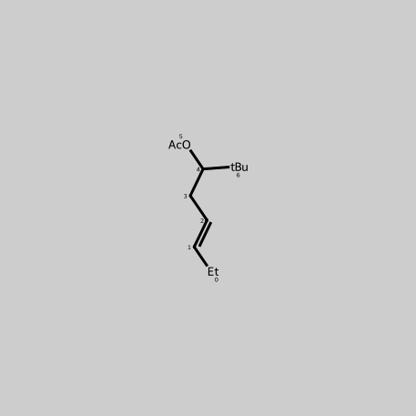 CCC=CCC(OC(C)=O)C(C)(C)C